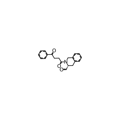 O=C[C@@H]1Cc2ccccc2CN1C(=O)CCC(=O)c1ccccc1